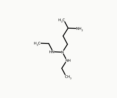 CCNN(CCC(C)N)NCC